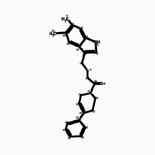 Cc1cc2[nH]cc(CSCC(=O)N3CC=C(c4ccccc4)CC3)c2cc1C